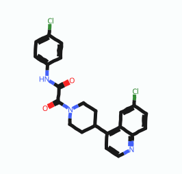 O=C(Nc1ccc(Cl)cc1)C(=O)N1CCC(c2ccnc3ccc(Cl)cc23)CC1